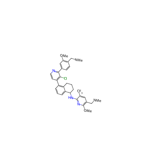 CNCc1ccc(-c2nccc(-c3cccc4c3CCCC4Nc3nc(OC)c(CNC)cc3C(F)(F)F)c2Cl)cc1OC